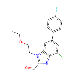 CCOCCn1c(C=O)nc2c(Cl)cc(-c3ccc(F)cc3)cc21